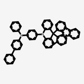 Cc1ccccc1C1(c2cccc3c2oc2ccccc23)c2ccccc2N(c2ccc(N(c3ccccc3)c3ccc(-c4ccccc4)cc3)cc2)c2ccccc21